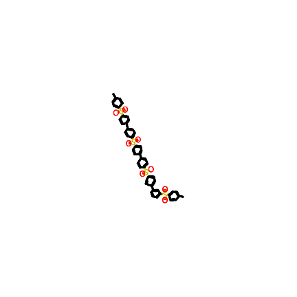 Cc1ccc(S(=O)(=O)c2ccc(-c3ccc(S(=O)(=O)c4ccc(-c5ccc(S(=O)(=O)c6ccc(-c7cccc(S(=O)(=O)c8ccc(C)cc8)c7)cc6)cc5)cc4)cc3)cc2)cc1